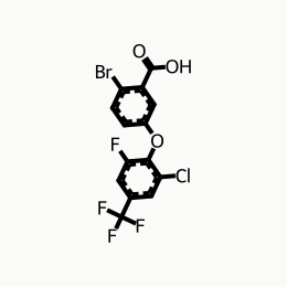 O=C(O)c1cc(Oc2c(F)cc(C(F)(F)F)cc2Cl)ccc1Br